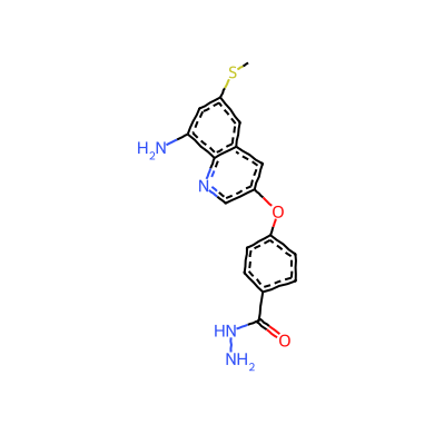 CSc1cc(N)c2ncc(Oc3ccc(C(=O)NN)cc3)cc2c1